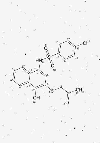 CC(=O)CSc1cc(NS(=O)(=O)c2ccc(Cl)cc2)c2ccccc2c1O